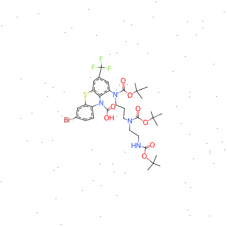 CC(C)(C)OC(=O)NCCN(CCCN(C(=O)OC(C)(C)C)c1cc(C(F)(F)F)cc2c1N(C(=O)O)c1ccc(Br)cc1S2)C(=O)OC(C)(C)C